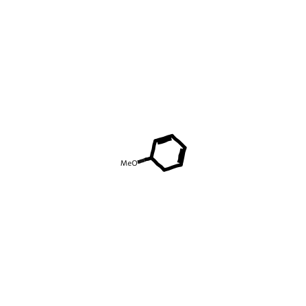 COC1C=CC=CC1